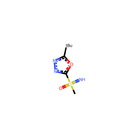 CC(C)(C)c1nnc(S(C)(=N)=O)o1